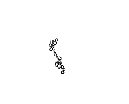 Nc1ncnc2c1c(-c1ccc(Oc3ccccc3)cc1)nn2[C@@H]1CCCN(CCOCCSc2cccc3c2CN(C2CCC(=O)NC2=O)C3=O)C1